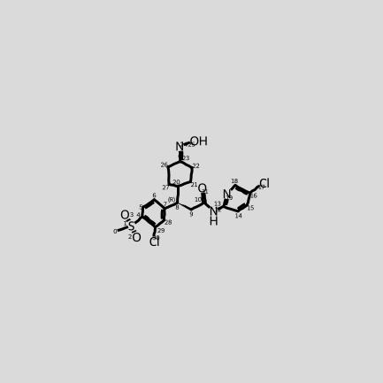 CS(=O)(=O)c1ccc([C@H](CC(=O)Nc2ccc(Cl)cn2)C2CCC(=NO)CC2)cc1Cl